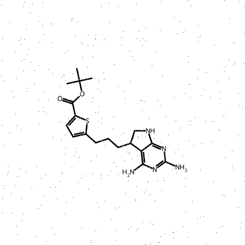 CC(C)(C)OC(=O)c1ccc(CCCC2CNc3nc(N)nc(N)c32)s1